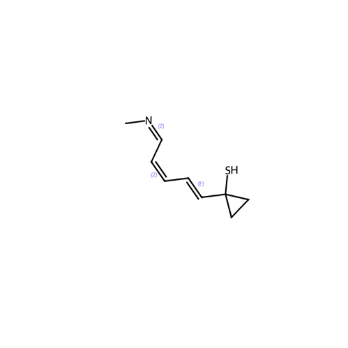 C\N=C/C=C\C=C\C1(S)CC1